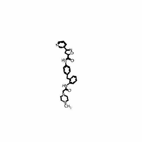 CN1CCN(CC(=O)Nc2ccccc2Cc2ccc(NC(=O)C3CC(c4cccnc4)=NO3)cc2)CC1